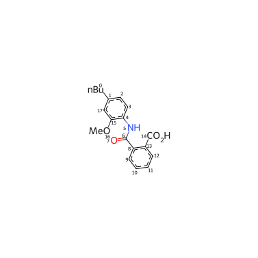 CCCCc1ccc(NC(=O)c2ccccc2C(=O)O)c(OC)c1